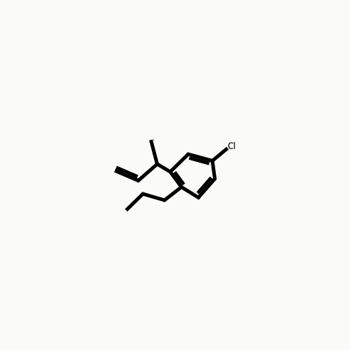 [CH2]C(C=C)c1cc(Cl)ccc1CCC